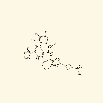 CCOC(=O)C1=C(C2CCc3nc([C@H]4C[C@H](C(=O)OC)C4)oc3C2)NC(c2nccs2)=NC1c1ccc(F)c(F)c1Cl